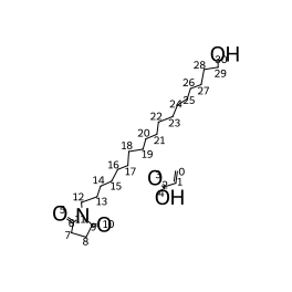 C=CC(=O)O.O=C1CCC(=O)N1CCCCCCCCCCCCCCCCCCO